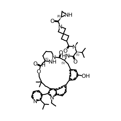 CCn1c(-c2cccnc2C(C)C)c2c3cc(ccc31)-c1cc(O)cc(c1)C[C@H](NC(=O)[C@H](C(C)C)N(C)C(=O)C1CC3(C1)CN(C(=O)[C@H]1CN1)C3)C(=O)N1CCC[C@H](N1)C(=O)OCC(C)(C)C2